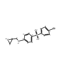 O=S(=O)(c1ccc(Br)cc1)c1ccc(OCC2CO2)cc1